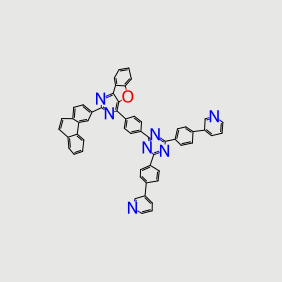 c1cncc(-c2ccc(-c3nc(-c4ccc(-c5cccnc5)cc4)nc(-c4ccc(-c5nc(-c6ccc7ccc8ccccc8c7c6)nc6c5oc5ccccc56)cc4)n3)cc2)c1